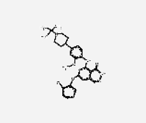 COc1cc(C2CCN(C(C)(C)C)CC2)ccc1Nc1nc(Oc2ccccc2Cl)cc2cn[nH]c(=O)c12